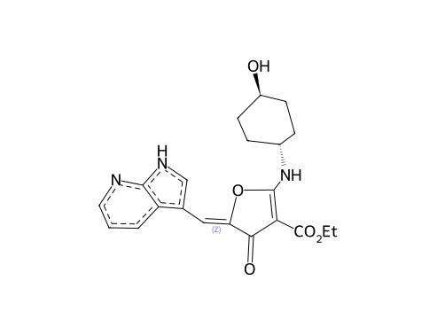 CCOC(=O)C1=C(N[C@H]2CC[C@H](O)CC2)O/C(=C\c2c[nH]c3ncccc23)C1=O